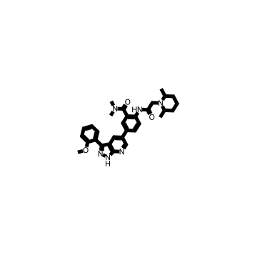 COc1ccccc1-c1n[nH]c2ncc(-c3ccc(NC(=O)CN4C(C)CCCC4C)c(C(=O)N(C)C)c3)cc12